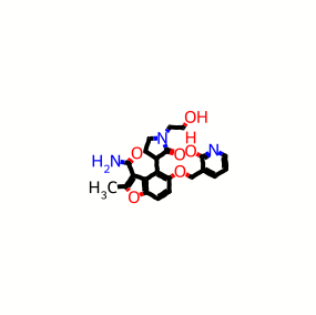 Cc1oc2ccc(OCc3cccnc3O)c(C3CCN(CCO)C3=O)c2c1C(N)=O